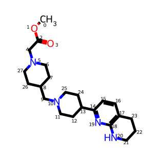 COC(=O)CN1CCC(CN2CCC(c3ccc4c(n3)NCCC4)CC2)CC1